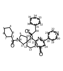 O=C(C1CCCCC1)N1CCC2(CCn3c(nc(-c4ccncc4)cc3=O)N2C(=O)Cc2ccccc2)C1